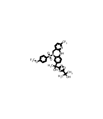 CC(C)(O)c1nc(C(C)(O)c2ccc3c(c2)N(S(=O)(=O)c2ccc(OC(F)(F)F)cc2)Cc2ccc(C(F)(F)F)nc2N3)no1